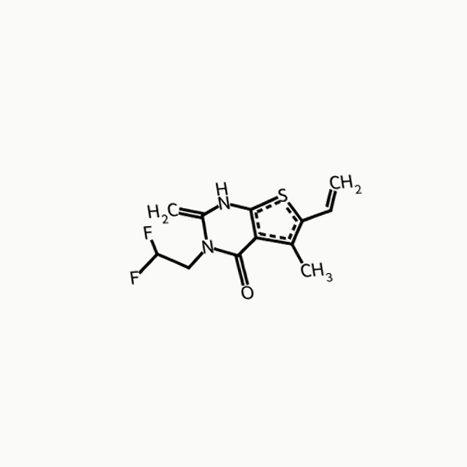 C=Cc1sc2c(c1C)C(=O)N(CC(F)F)C(=C)N2